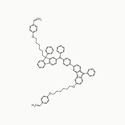 C=Cc1ccc(OCCCCCCOc2ccc3c(c2)c2cc(-c4ccc(N(c5ccccc5)c5ccc6c(c5)C(CCCCCCOc5ccc(C=C)cc5)(c5ccccc5)c5ccccc5-6)cc4)ccc2n3-c2ccccc2)cc1